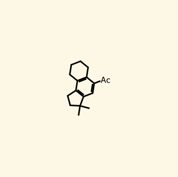 CC(=O)c1cc2c(c3c1CCCC3)CCC2(C)C